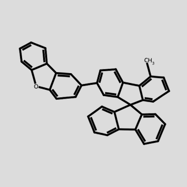 Cc1cccc2c1-c1ccc(-c3ccc4oc5ccccc5c4c3)cc1C21c2ccccc2-c2ccccc21